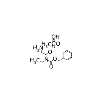 CCN(C(=O)CN)C(=O)OCc1ccccc1.C[PH](=O)O